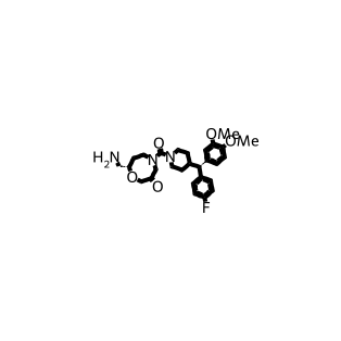 COc1ccc([C@H](c2ccc(F)cc2)C2CCN(C(=O)N3CC[C@@H](CN)OCC(=O)C3)CC2)cc1OC